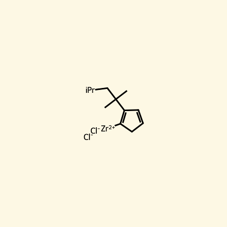 CC(C)CC(C)(C)C1=[C]([Zr+2])CC=C1.[Cl-].[Cl-]